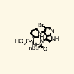 CCCCC(=O)Nc1c[nH]c2ncc(Br)c(N3CCC[C@@H](N(N)C(=O)O)C3)c12